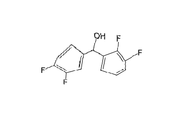 OC(c1ccc(F)c(F)c1)c1cccc(F)c1F